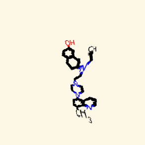 C#CCN(CCN1CCN(c2ccc(C)c3ncccc23)CC1)C1CCc2ccc(O)cc2C1